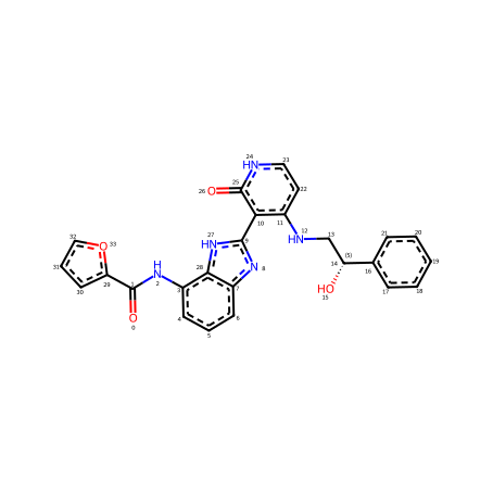 O=C(Nc1cccc2nc(-c3c(NC[C@@H](O)c4ccccc4)cc[nH]c3=O)[nH]c12)c1ccco1